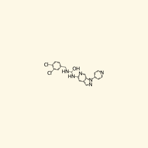 OC(NCc1ccc(Cl)c(Cl)c1)Nc1cc2cnn(-c3ccncc3)c2cn1